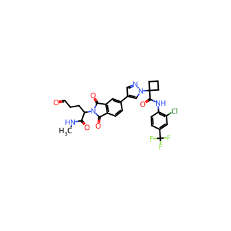 CNC(=O)C(CCC=O)N1C(=O)c2ccc(-c3cnn(C4(C(=O)Nc5ccc(C(F)(F)F)cc5Cl)CCC4)c3)cc2C1=O